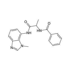 CC(NC(=O)c1ccccc1)C(=O)Nc1cccc2ncn(C)c12